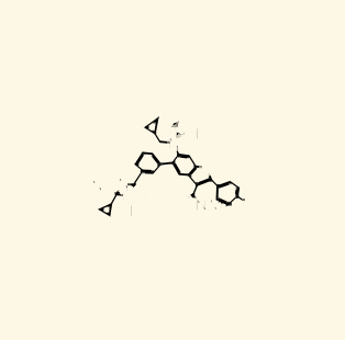 CNC(=O)c1c(-c2ccc(F)cc2)oc2cc(N(CC3CC3)S(=O)O)c(-c3cccc(C(=O)NC(C)(C#N)C4CC4)c3)cc12